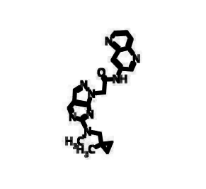 CN(CC1(C)CC1)c1ncc2cnn(CC(=O)Nc3cnc4cccnc4c3)c2n1